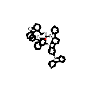 c1ccc(-c2ccc(-n3c4ccc(-n5c6ccccc6c6ccccc65)cc4c4ccc5c6ccccc6n(-c6nc(-c7ccccc7)nc(-c7cccc8oc9ccccc9c78)n6)c5c43)cc2)cc1